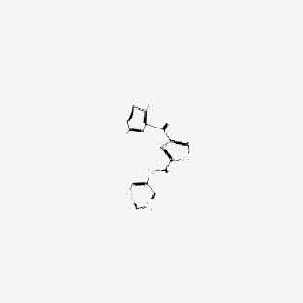 Cc1ccc(F)c(C(=O)c2c[nH]c(C(=O)Nc3cncnc3)c2)c1